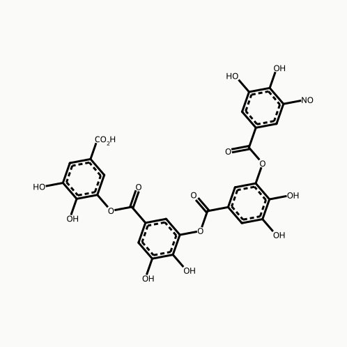 O=Nc1cc(C(=O)Oc2cc(C(=O)Oc3cc(C(=O)Oc4cc(C(=O)O)cc(O)c4O)cc(O)c3O)cc(O)c2O)cc(O)c1O